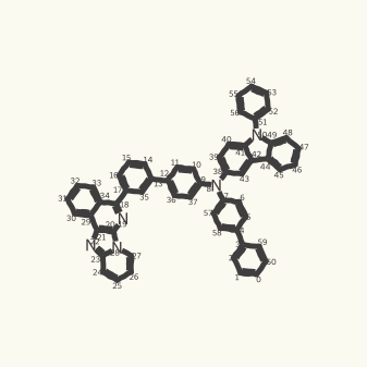 c1ccc(-c2ccc(N(c3ccc(-c4cccc(-c5nc6c(nc7ccccn76)c6ccccc56)c4)cc3)c3ccc4c(c3)c3ccccc3n4-c3ccccc3)cc2)cc1